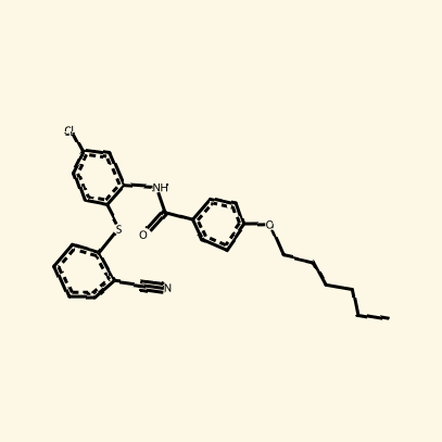 CCCCCCOc1ccc(C(=O)Nc2cc(Cl)ccc2Sc2ccccc2C#N)cc1